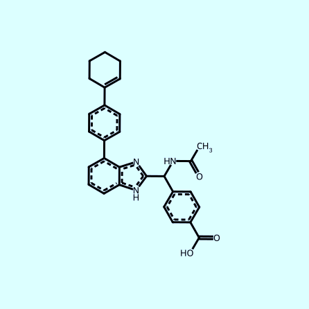 CC(=O)NC(c1ccc(C(=O)O)cc1)c1nc2c(-c3ccc(C4=CCCCC4)cc3)cccc2[nH]1